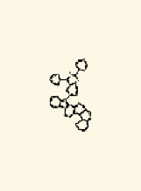 c1ccc(-c2nc(-c3ccccc3)c3cc(-n4c5ccccc5c5ccc6c(ccc7ccc8ccccc8c76)c54)ccc3n2)cc1